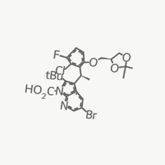 C[C@H](c1c(OC[C@H]2COC(C)(C)O2)ccc(F)c1Cl)c1c(C(C)(C)C)n(C(=O)O)c2ncc(Br)cc12